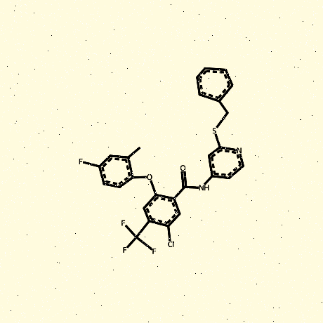 Cc1cc(F)ccc1Oc1cc(C(F)(F)F)c(Cl)cc1C(=O)Nc1ccnc(SCc2ccccc2)c1